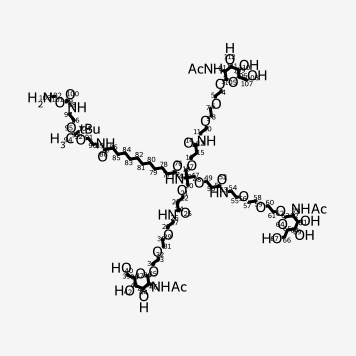 CC(=O)NC1C(OCCOCCOCCNC(=O)CCOCC(COCCC(=O)NCCOCCOCCOC2OC(CO)C(O)C(O)C2NC(C)=O)(COCCC(=O)NCCOCCOCCOC2OC(CO)C(O)C(O)C2NC(C)=O)NC(=O)CCCCCCCCCCC(=O)NCCOC(C)(OCCNC(=O)OCN)C(C)(C)C)OC(CO)C(O)C1O